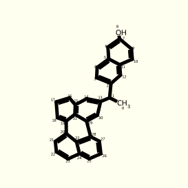 CC(c1ccc2cc(O)ccc2c1)c1cc2cccc3c4cccc5cccc(c(c1)c23)c54